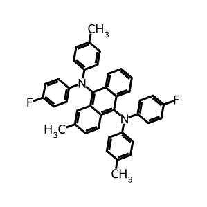 Cc1ccc(N(c2ccc(F)cc2)c2c3ccccc3c(N(c3ccc(C)cc3)c3ccc(F)cc3)c3cc(C)ccc23)cc1